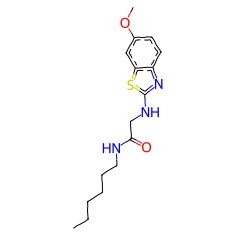 CCCCCCNC(=O)CNc1nc2ccc(OC)cc2s1